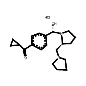 Cl.O=C(c1ccc([C@H](O)N2CCC[C@H]2CN2CCCC2)cc1)C1CC1